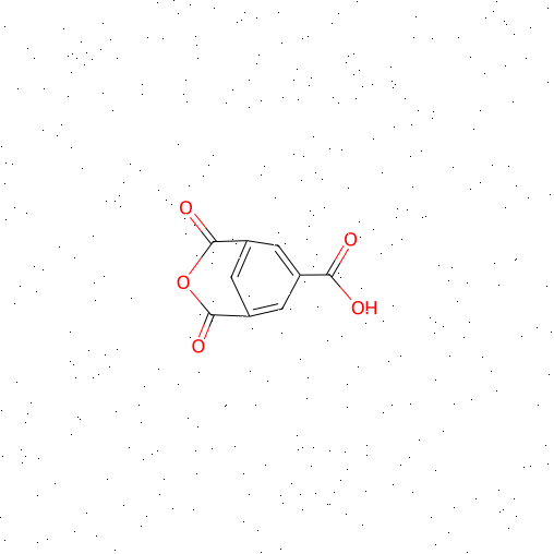 O=C(O)c1cc2cc(c1)C(=O)OC2=O